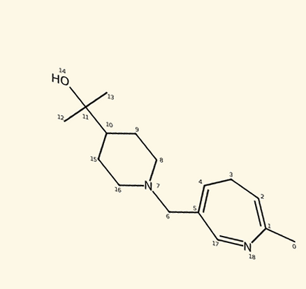 CC1=CCC=C(CN2CCC(C(C)(C)O)CC2)C=N1